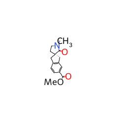 COC(=O)c1ccc2c(c1)C[C@@]1(CCN(C)C1=O)C2